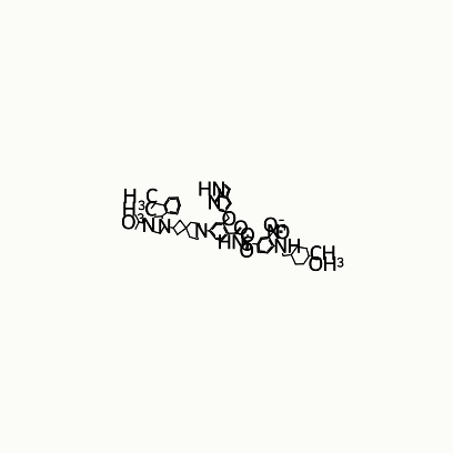 CC(C)c1ccccc1C1CN(C2COC2)CCN1C1CC2(CCN(c3ccc(C(=O)NS(=O)(=O)c4ccc(NCC5CCC(C)(O)CC5)c([N+](=O)[O-])c4)c(Oc4cnc5[nH]ccc5c4)c3)CC2)C1